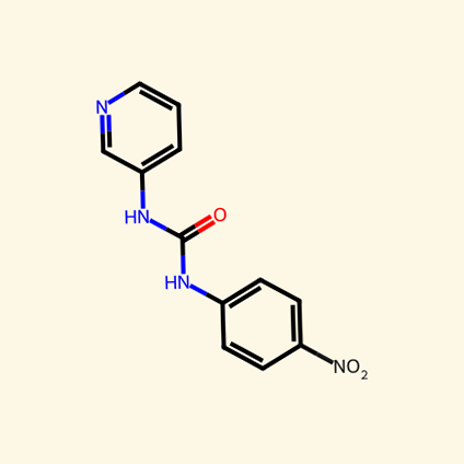 O=C(Nc1ccc([N+](=O)[O-])cc1)Nc1cccnc1